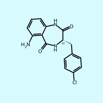 Nc1cccc2c1C(=O)N[C@@H](Cc1ccc(Cl)cc1)C(=O)N2